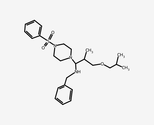 CC(C)COCC(C)C(NCc1ccccc1)N1CCN(S(=O)(=O)c2ccccc2)CC1